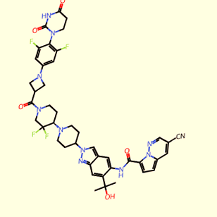 CC(C)(O)c1cc2nn(C3CCN([C@@H]4CCN(C(=O)C5CN(c6cc(F)c(N7CCC(=O)NC7=O)c(F)c6)C5)CC4(F)F)CC3)cc2cc1NC(=O)c1ccc2cc(C#N)cnn12